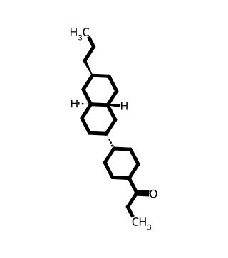 CCC[C@H]1CC[C@@H]2C[C@H](C3CCC(C(=O)CC)CC3)CC[C@H]2C1